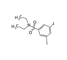 CCN(CC)S(=O)(=O)c1cc(I)cc(I)c1